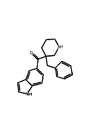 O=C(c1ccc2[nH]ccc2c1)C1(Cc2ccccc2)CCCNC1